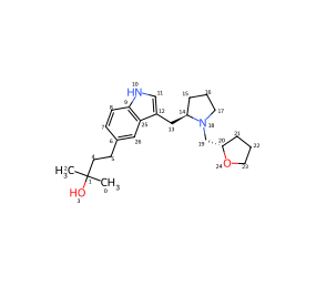 CC(C)(O)CCc1ccc2[nH]cc(C[C@H]3CCCN3C[C@@H]3CCCO3)c2c1